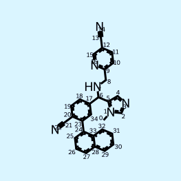 Cn1cncc1C(NCc1ccc(C#N)cn1)c1ccc(C#N)c(-c2cccc3ccccc23)c1